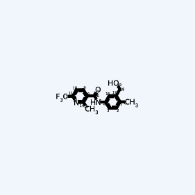 Cc1ccc(NC(=O)c2ccc(C(F)(F)F)nc2C)cc1CO